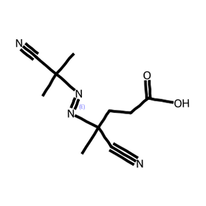 CC(C)(C#N)/N=N/C(C)(C#N)CCC(=O)O